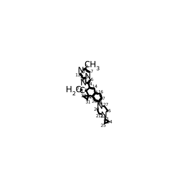 C=C=C1C(c2cn3cc(C)ncc3n2)=Cc2ccc(N3CCN(C4CC4)CC3)cc2C12CC2